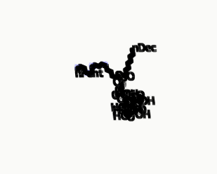 CCCCC/C=C\C/C=C\C/C=C\C/C=C\CCCC(=O)O[C@H](COC(=O)CCCCCCCCCCCCCCCCC)COP(=O)(O)O[C@H]1C(O)C(OP(=O)(O)O)C(OP(=O)(O)O)[C@@H](OP(=O)(O)O)C1O